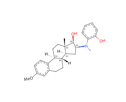 COc1ccc2c(c1)CC[C@@H]1[C@@H]2CC[C@]2(C)[C@@H](O)[C@@H](N(C)c3ccccc3O)C[C@@H]12